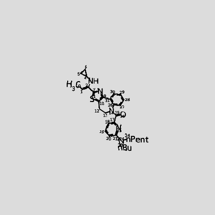 C/C=C(\NC1CC1)c1nc2c(s1)CCN(C(=O)c1cccc(N(CCCC)CCCCC)n1)c1ccccc1-2